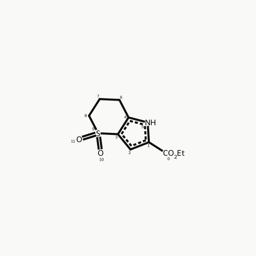 CCOC(=O)c1cc2c([nH]1)CCCS2(=O)=O